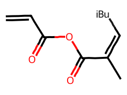 C=CC(=O)OC(=O)C(C)=CC(C)CC